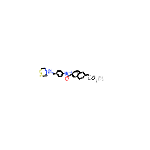 CCOC(=O)CC1CCc2cc(C(=O)Nc3ccc(C=NN4CCSCC4)cc3)ccc2C1